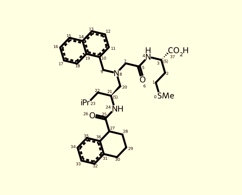 CSCC[C@H](NC(=O)CN(Cc1cccc2ccccc12)C[C@H](CC(C)C)NC(=O)C1CCCc2ccccc21)C(=O)O